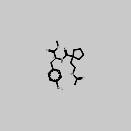 COC(=O)[C@H](Cc1ccc(N)cc1)NC(=S)C1(CCNC(C)=O)CCCC1